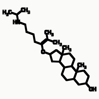 CC(C)=C(CCCCNC(C)C)OC1CC2C3CCC4CC(O)CCC4(C)C3CCC2(C)C1